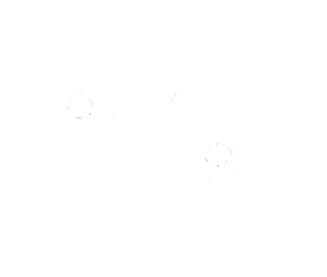 CCC(CCC(=O)OC(C)CCc1cc(C(C)(C)C)c(O)c(C(C)(C)C)c1)OC(=O)Sc1ccccc1